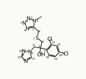 Cn1nnnc1CSCC(O)(Cn1cncn1)c1ccc(Cl)cc1Cl